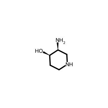 N[C@H]1CNCC[C@H]1O